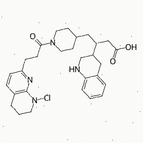 O=C(O)CC(CC1CCN(C(=O)CCc2ccc3c(n2)N(Cl)CCC3)CC1)C1CNc2ccccc2C1